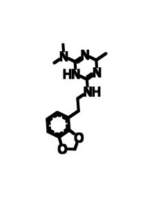 CC1N=C(NCCc2cccc3c2OCO3)NC(N(C)C)=N1